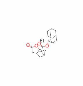 CCC1(OC(=O)C2C3[CH]C4OC(=O)C2C4C3)C2CC3CC(C2)CC1C3